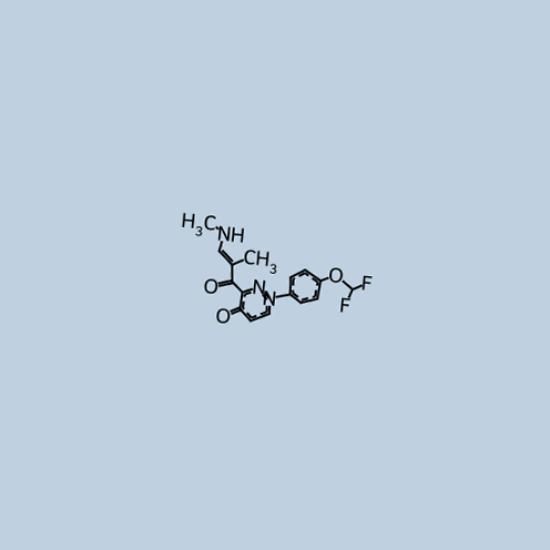 CN/C=C(\C)C(=O)c1nn(-c2ccc(OC(F)F)cc2)ccc1=O